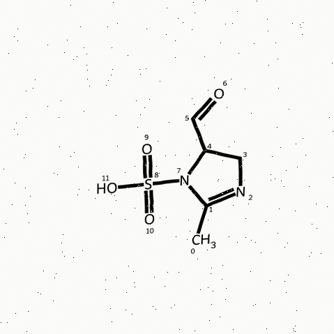 CC1=NCC(C=O)N1S(=O)(=O)O